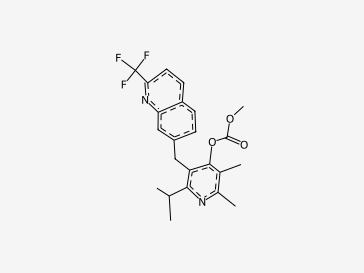 COC(=O)Oc1c(C)c(C)nc(C(C)C)c1Cc1ccc2ccc(C(F)(F)F)nc2c1